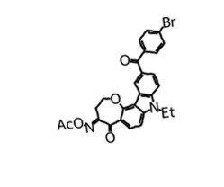 CCn1c2ccc(C(=O)c3ccc(Br)cc3)cc2c2c3c(ccc21)C(=O)/C(=N/OC(C)=O)CCO3